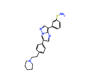 NSc1cccc(-c2cnn3cc(-c4ccc(CCN5CCCCC5)cc4)cnc23)c1